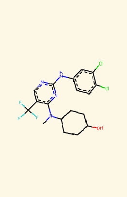 CN(c1nc(Nc2ccc(Cl)c(Cl)c2)ncc1C(F)(F)F)C1CCC(O)CC1